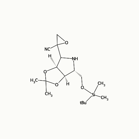 CC1(C)O[C@@H]2[C@@H](CO[Si](C)(C)C(C)(C)C)NC(C3(C#N)CO3)[C@@H]2O1